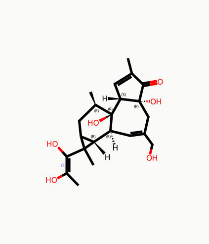 CC1=C[C@H]2[C@@]3(O)[C@H](C)CC4[C@H]([C@@H]3C=C(CO)C[C@]2(O)C1=O)C4(C)/C(O)=C(\C)O